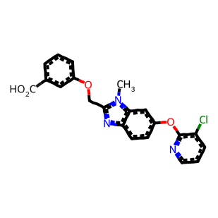 Cn1c(COc2cccc(C(=O)O)c2)nc2ccc(Oc3ncccc3Cl)cc21